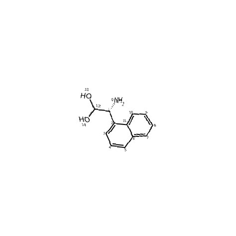 N[C@H](c1cccc2ccccc12)C(O)O